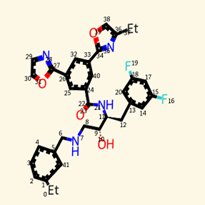 CCc1cccc(CNC[C@@H](O)[C@H](Cc2cc(F)cc(F)c2)NC(=O)c2cc(-c3ncco3)cc(-c3nc(CC)co3)c2)c1